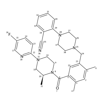 Cc1cc(C)c(C(=O)N2CCN(c3ccc(F)cn3)C[C@@H]2C)cc1CN1CCN(c2ccccc2C#N)CC1